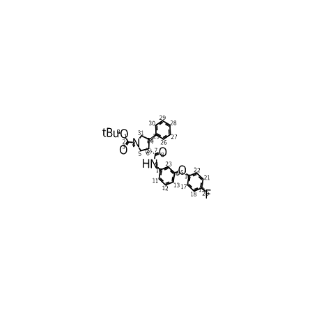 CC(C)(C)OC(=O)N1C[C@@H](C(=O)Nc2cccc(Oc3ccc(F)cc3)c2)[C@H](c2ccccc2)C1